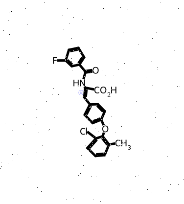 Cc1cccc(Cl)c1Oc1ccc(/C=C(/NC(=O)c2cccc(F)c2)C(=O)O)cc1